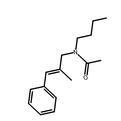 CCCCN(C/C(C)=C/c1ccccc1)C(C)=O